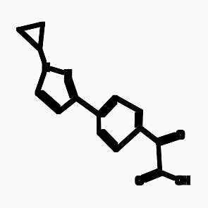 O=C(O)C(=O)c1ccc(-c2ccn(C3CC3)n2)cc1